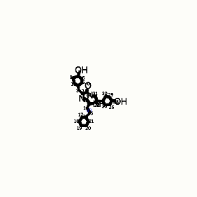 O=c1c(Cc2ccc(O)cc2)nc2c(/C=C/c3ccccc3)[nH]c(-c3ccc(O)cc3)cn1-2